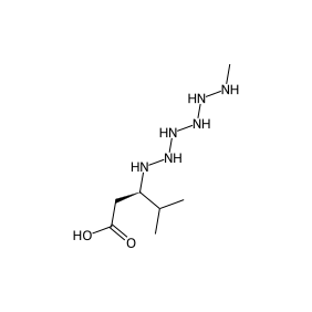 CNNNNNN[C@H](CC(=O)O)C(C)C